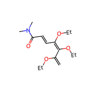 C=C(OCC)/C(OCC)=C(\C=C\C(=O)N(C)C)OCC